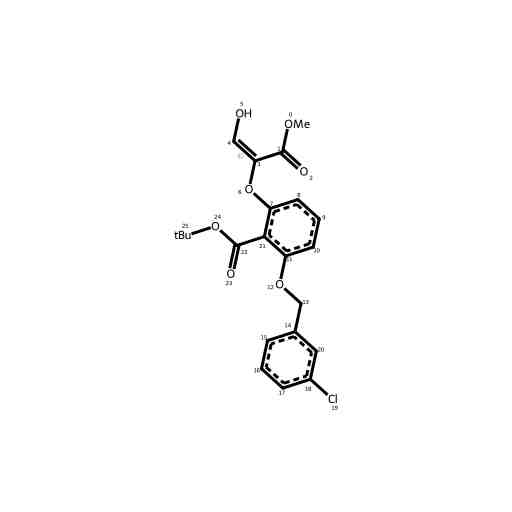 COC(=O)/C(=C\O)Oc1cccc(OCc2cccc(Cl)c2)c1C(=O)OC(C)(C)C